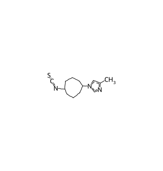 Cc1cn(C2CCCC(N=C=S)CCC2)cn1